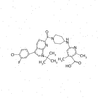 Cc1cc(NC2CCN(C(=O)c3ccc4c(-c5ccc(Cl)c(F)c5)cn(C(C)(C)C)c4n3)CC2)nc(C)c1C(=O)O